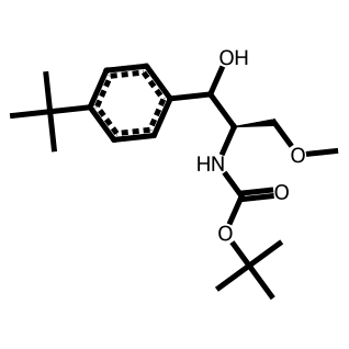 COC[C@@H](NC(=O)OC(C)(C)C)C(O)c1ccc(C(C)(C)C)cc1